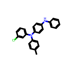 Cc1ccc(N(c2ccc(Nc3ccccc3)cc2)c2cccc(Cl)c2)cc1